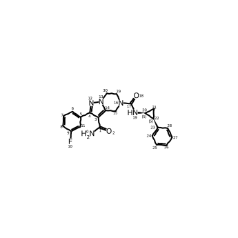 NC(=O)c1c(-c2cccc(F)c2)nn2c1CN(C(=O)N[C@H]1C[C@H]1c1ccccc1)CC2